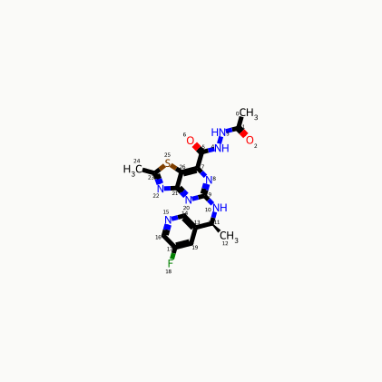 CC(=O)NNC(=O)c1nc(N[C@@H](C)c2cncc(F)c2)nc2nc(C)sc12